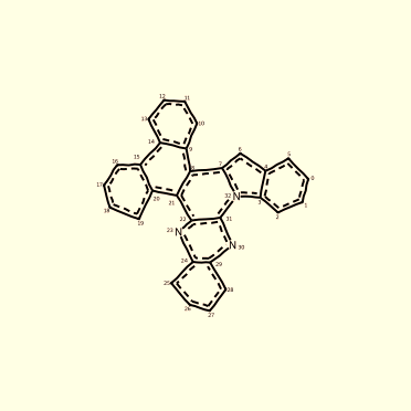 c1ccc2c(c1)cc1c3c4ccccc4c4ccccc4c3c3nc4ccccc4nc3n21